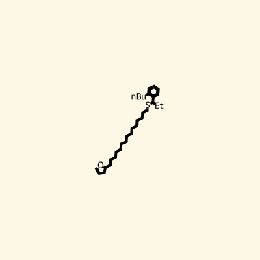 CCCCc1ccccc1C(CC)SCCCCCCCCCCCCCCCC1CCCO1